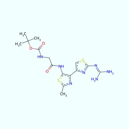 Cc1nc(-c2csc(N=C(N)N)n2)c(NC(=O)CNC(=O)OC(C)(C)C)s1